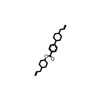 C=CCC1CCC(OC(=O)c2ccc(C3CCC(CC=C)CC3)cc2)CC1